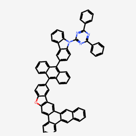 c1ccc(-c2nc(-c3ccccc3)nc(-n3c4ccccc4c4cc(-c5c6ccccc6c(-c6ccc7oc8cc9c%10ccccc%10c%10cc%11ccccc%11cc%10c9cc8c7c6)c6ccccc56)ccc43)n2)cc1